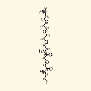 CCCNC(=O)COCC(=O)NCCOCCOCCOCCNC